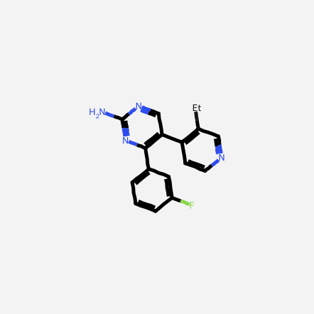 CCc1cnccc1-c1cnc(N)nc1-c1cccc(F)c1